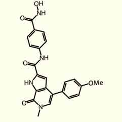 COc1ccc(-c2cn(C)c(=O)c3[nH]c(C(=O)Nc4ccc(C(=O)NO)cc4)cc23)cc1